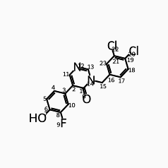 O=c1c(-c2ccc(O)c(F)c2)cncn1Cc1ccc(Cl)c(Cl)c1